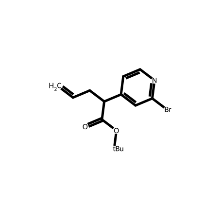 C=CCC(C(=O)OC(C)(C)C)c1ccnc(Br)c1